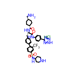 Cl.NC[C@H]1CC[C@H](C(=O)N[C@@H](Cc2ccc(-c3ccc(S(=O)(=O)NC4CCNCC4)cc3C(F)(F)F)cc2)C(=O)Nc2ccc(-c3nn[nH]n3)cc2)CC1